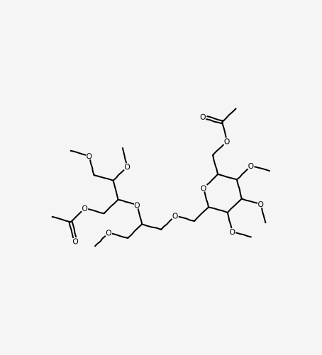 COCC(COCC1OC(COC(C)=O)C(OC)C(OC)C1OC)OC(COC(C)=O)C(COC)OC